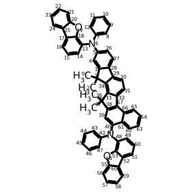 CC1(C)c2cc(N(c3ccccc3)c3cccc4c3oc3ccccc34)ccc2-c2ccc3c(c21)C(C)(C)c1cc(N(c2ccccc2)c2cccc4c2oc2ccccc24)c2ccccc2c1-3